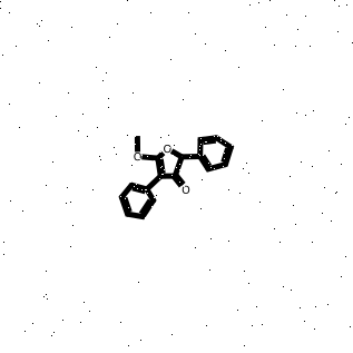 COC1=C(c2ccccc2)C(=O)C(c2ccccc2)O1